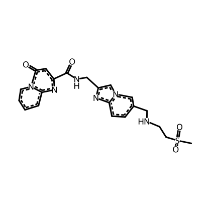 CS(=O)(=O)CCNCc1ccc2nc(CNC(=O)c3cc(=O)n4ccccc4n3)cn2c1